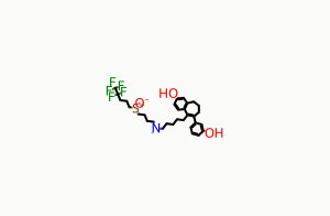 CN(CCCCCC1=C(c2cccc(O)c2)CCCc2cc(O)ccc21)CCCC[S+]([O-])CCCC(F)(F)C(F)(F)F